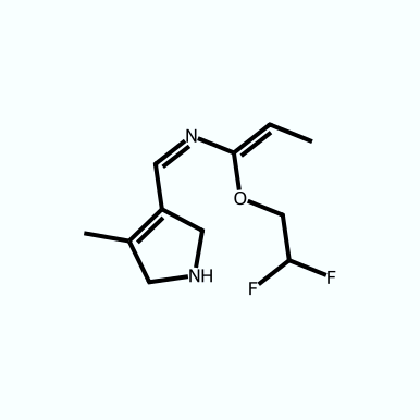 CC=C(/N=C\C1=C(C)CNC1)OCC(F)F